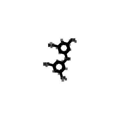 Cc1cc(Nc2cc(C)nc(C)c2)cc(C)n1